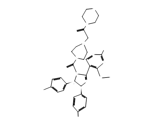 CCOc1nc(C(F)(F)F)ncc1C1=N[C@@H](c2ccc(Cl)cc2)[C@@H](c2ccc(Cl)cc2)N1C(=O)N1CCN(CC(=O)N2CCOCC2)CC1